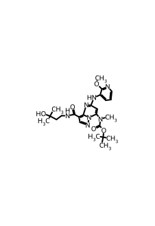 COc1ncccc1Nc1cc(N(C)C(=O)OC(C)(C)C)n2ncc(C(=O)NCCC(C)(C)O)c2n1